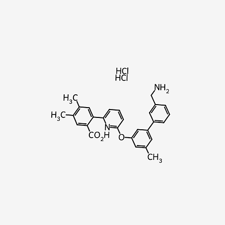 Cc1cc(Oc2cccc(-c3cc(C)c(C)cc3C(=O)O)n2)cc(-c2cccc(CN)c2)c1.Cl.Cl